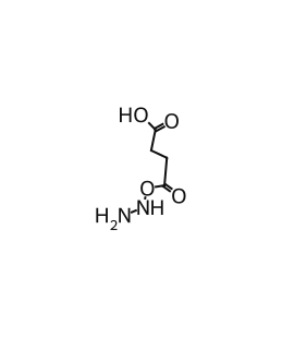 NNOC(=O)CCC(=O)O